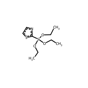 CCO[Si](OCC)(OCC)c1nccs1